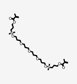 C=C(C)C(=O)OCCC[Si](C)(C)OCCCOCCCOCCCOCCCO[Si](C)(C)CCCOC(=O)C(=C)C